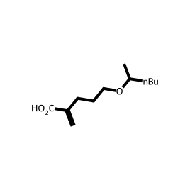 C=C(CCCOC(C)CCCC)C(=O)O